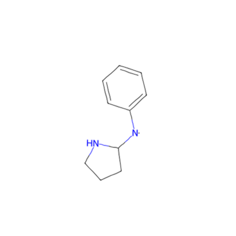 c1ccc([N]C2CCCN2)cc1